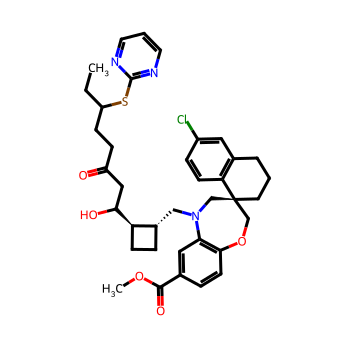 CCC(CCC(=O)CC(O)[C@@H]1CC[C@H]1CN1C[C@@]2(CCCc3cc(Cl)ccc32)COc2ccc(C(=O)OC)cc21)Sc1ncccn1